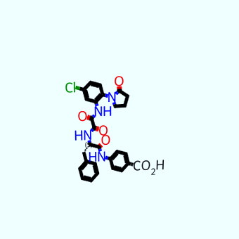 O=C(Nc1cc(Cl)ccc1N1CCCC1=O)C(=O)N[C@@H](Cc1ccccc1)C(=O)Nc1ccc(C(=O)O)cc1